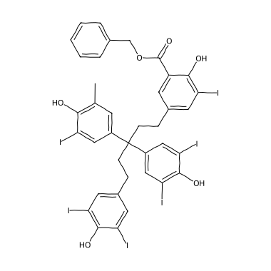 Cc1cc(C(CCc2cc(I)c(O)c(I)c2)(CCc2cc(I)c(O)c(C(=O)OCc3ccccc3)c2)c2cc(I)c(O)c(I)c2)cc(I)c1O